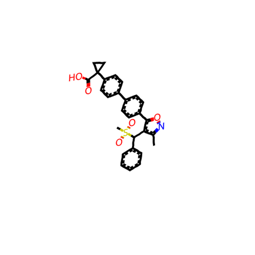 Cc1noc(-c2ccc(-c3ccc(C4(C(=O)O)CC4)cc3)cc2)c1C(c1ccccc1)S(C)(=O)=O